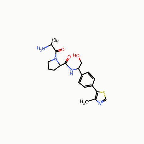 Cc1ncsc1-c1ccc(C(CO)NC(=O)C2CCCN2C(=O)C(N)C(C)(C)C)cc1